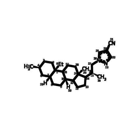 CC[C@]12CC[C@H](C)C[C@H]1CC[C@H]1C3CCC([C@@H](C)Cn4cc(C#N)cn4)[C@@]3(C)CCC12